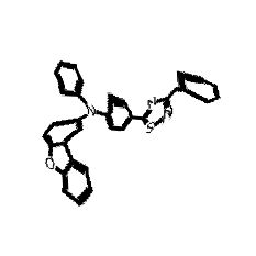 c1ccc(-c2nsc(-c3ccc(N(c4ccccc4)c4ccc5oc6ccccc6c5c4)cc3)n2)cc1